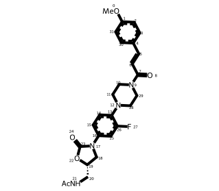 COc1ccc(C=CC(=O)N2CCN(c3ccc(N4C[C@H](CNC(C)=O)OC4=O)cc3F)CC2)cc1